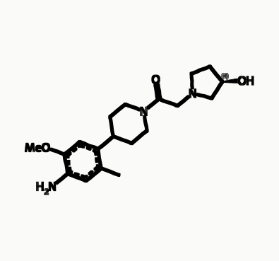 COc1cc(C2CCN(C(=O)CN3CC[C@@H](O)C3)CC2)c(C)cc1N